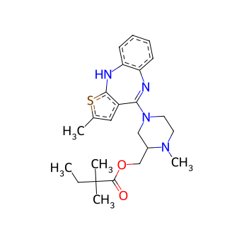 CCC(C)(C)C(=O)OCC1CN(C2=Nc3ccccc3Nc3sc(C)cc32)CCN1C